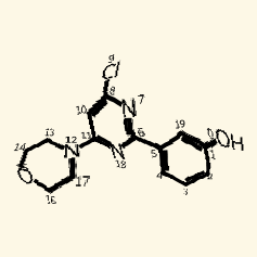 Oc1cccc(-c2nc(Cl)cc(N3CCOCC3)n2)c1